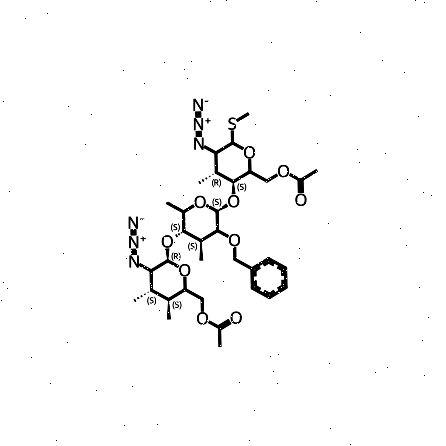 CSC1OC(COC(C)=O)[C@@H](O[C@@H]2OC(C)[C@@H](O[C@H]3OC(COC(C)=O)[C@@H](C)[C@H](C)C3N=[N+]=[N-])[C@H](C)C2OCc2ccccc2)[C@H](C)C1N=[N+]=[N-]